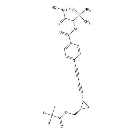 CC(C)(N)[C@H](NC(=O)c1ccc(C#CC#C[C@@H]2C[C@H]2COC(=O)C(F)(F)F)cc1)C(=O)NO